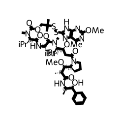 CC[C@H](C)[C@@H]([C@@H](CC(=O)N1CCC[C@H]1[C@H](OC)[C@@H](C)C(=O)N[C@H](C)[C@@H](O)c1ccccc1)OC)N(C)C(=O)[C@@H](NC(=O)[C@H](C(C)C)N(C)C(=O)OCC(C)(C)SSc1nc2cnc(OC)nc2[nH]1)C(C)C